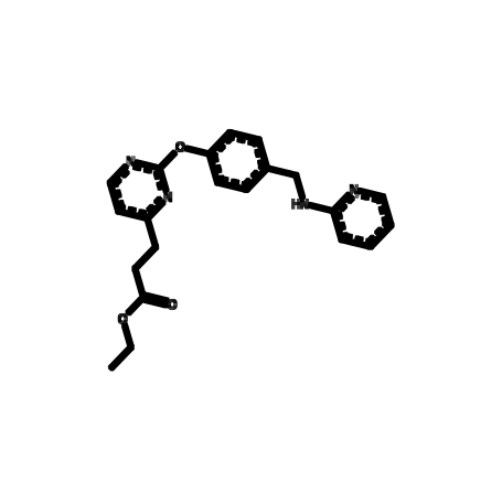 CCOC(=O)CCc1ccnc(Oc2ccc(CNc3ccccn3)cc2)n1